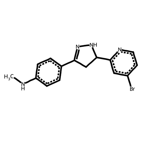 CNc1ccc(C2=NNC(c3cc(Br)ccn3)C2)cc1